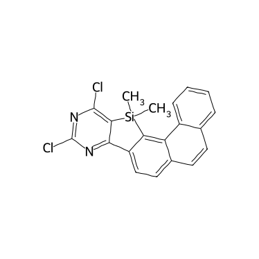 C[Si]1(C)c2c(Cl)nc(Cl)nc2-c2ccc3ccc4ccccc4c3c21